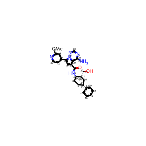 COc1cc(-c2cc(C(=O)N[C@@H]3CC[C@@H](c4ccccc4)C[C@H]3CO)c3c(N)ncnn23)ccn1